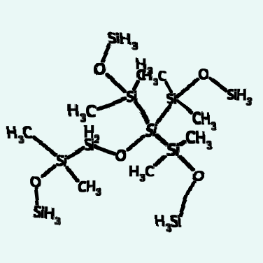 C[Si](C)(O[SiH3])[SiH2]O[Si]([Si](C)(C)O[SiH3])([Si](C)(C)O[SiH3])[Si](C)(C)O[SiH3]